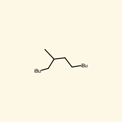 CCC(C)CC[C](C)CC(C)CC